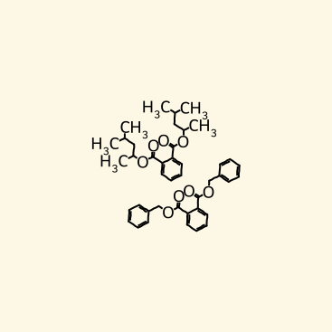 CC(C)CC(C)OC(=O)c1ccccc1C(=O)OC(C)CC(C)C.O=C(OCc1ccccc1)c1ccccc1C(=O)OCc1ccccc1